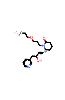 O=C(O)CCOCCCN1C(=O)CCC[C@@H]1/C=C/C(O)Cc1cccnc1